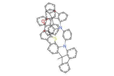 CC1(C)c2ccccc2-c2cccc(N(c3cccc(N(c4cccc5c4C(c4ccccc4)(c4ccccc4)c4ccccc4-5)c4cccc5oc6ccccc6c45)c3)c3cccc4c3sc3ccccc34)c21